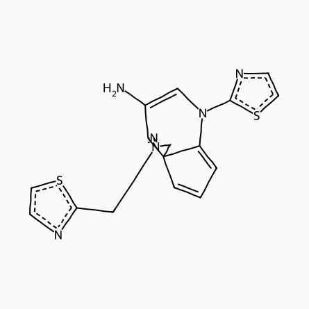 NC1=CN(c2nccs2)C2=CC=CC23CN(Cc2nccs2)N=C13